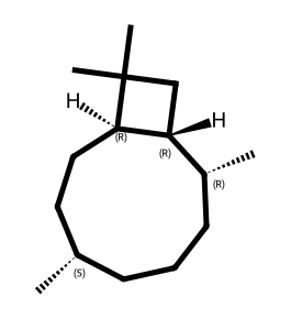 C[C@H]1CCC[C@@H](C)[C@H]2CC(C)(C)[C@@H]2CC1